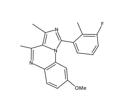 COc1ccc2nc(C)c3c(C)nc(-c4cccc(F)c4C)n3c2c1